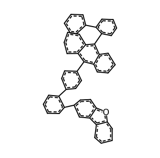 c1ccc(-c2ccccc2-c2c3ccccc3c(-c3ccc(-c4ccccc4-c4ccc5oc6ccccc6c5c4)cc3)c3ccccc23)cc1